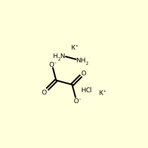 Cl.NN.O=C([O-])C(=O)[O-].[K+].[K+]